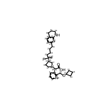 O=C(O)[C@@H](c1cccnc1COC1CCC1)N1CC[C@@H](C(F)(F)CCCCc2ccc3c(n2)NCCC3)C1